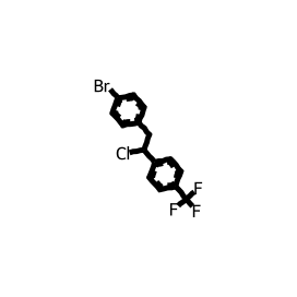 FC(F)(F)c1ccc(C(Cl)Cc2ccc(Br)cc2)cc1